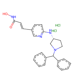 Cl.Cl.O=C(/C=C/c1ccc(N[C@@H]2CCN(C(c3ccccc3)c3ccccc3)C2)nc1)NO